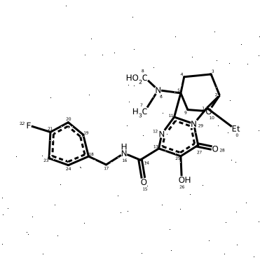 CCC1C2CCC(N(C)C(=O)O)(CO2)c2nc(C(=O)NCc3ccc(F)cc3)c(O)c(=O)n21